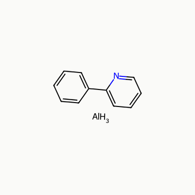 [AlH3].c1ccc(-c2ccccn2)cc1